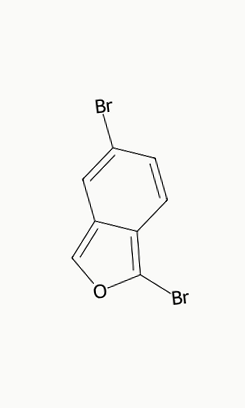 Brc1ccc2c(Br)occ2c1